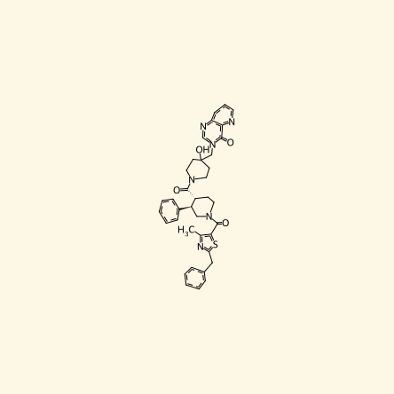 Cc1nc(Cc2ccccc2)sc1C(=O)N1CC[C@@H](C(=O)N2CCC(O)(Cn3cnc4cccnc4c3=O)CC2)[C@H](c2ccccc2)C1